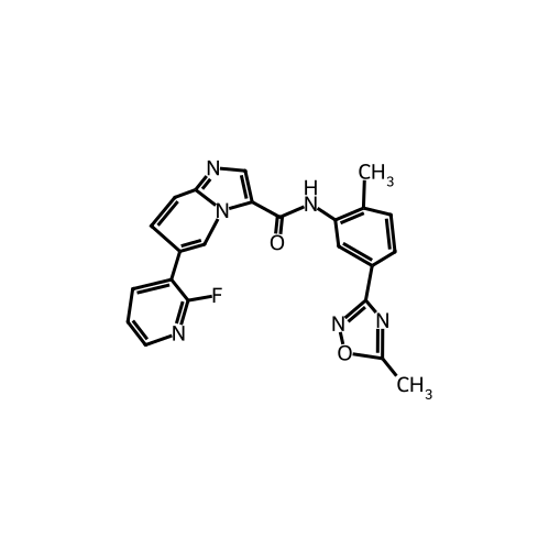 Cc1nc(-c2ccc(C)c(NC(=O)c3cnc4ccc(-c5cccnc5F)cn34)c2)no1